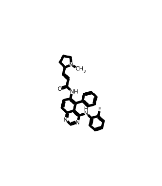 CN1CCCC1C=CC(=O)Nc1ccc2ncnc(Nc3ccccc3F)c2c1-c1ccccc1